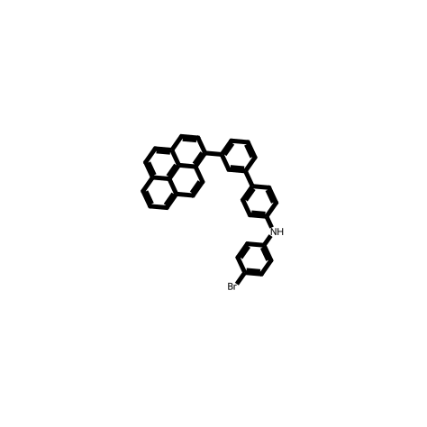 Brc1ccc(Nc2ccc(-c3cccc(-c4ccc5ccc6cccc7ccc4c5c67)c3)cc2)cc1